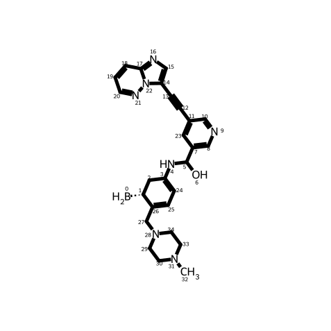 B[C@@H]1CC(NC(O)c2cncc(C#Cc3cnc4cccnn34)c2)=CC=C1CN1CCN(C)CC1